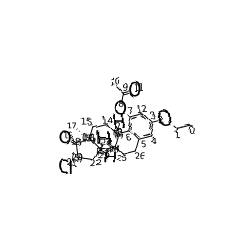 CCOc1cc2c(c(OC(C)=O)c1)[C@H]1CC[C@]3(C)C(=O)[C@@H](Cl)C[C@H]3[C@@H]1CC2